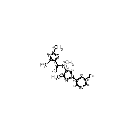 Cc1nc(C(F)(F)F)c(C(=O)N(C)c2cn(-c3cncc(F)c3)nc2C)s1